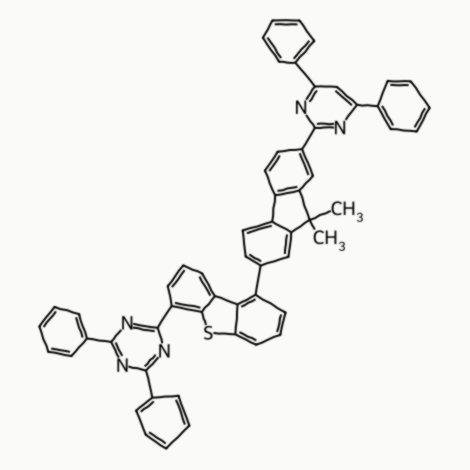 CC1(C)c2cc(-c3nc(-c4ccccc4)cc(-c4ccccc4)n3)ccc2-c2ccc(-c3cccc4sc5c(-c6nc(-c7ccccc7)nc(-c7ccccc7)n6)cccc5c34)cc21